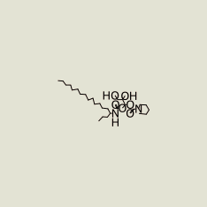 CCCCCCCCCCCCCCC(CCC)NC(=O)OC(OC(=O)N1CCCCC1)C(O)CO